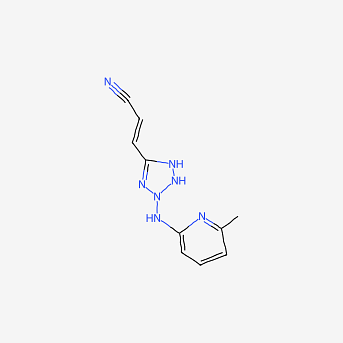 Cc1cccc(NN2N=C(C=CC#N)NN2)n1